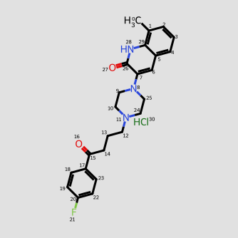 Cc1cccc2cc(N3CCN(CCCC(=O)c4ccc(F)cc4)CC3)c(=O)[nH]c12.Cl